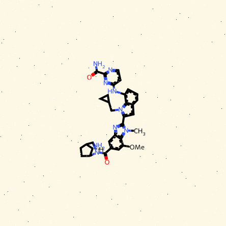 COc1cc(C(=O)N2CC3CCC2[C@@H]3N)cc2nc(-c3cc4cccc(Nc5ccnc(C(N)=O)n5)c4n3CC3CC3)n(C)c12